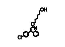 OCCCCCCOc1cc(-c2ccc(Cl)cc2)c2ccccc2n1